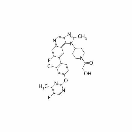 Cc1nc(Oc2ccc(-c3cc4c(cc3F)ncc3nc(C)n(C5CCN(C(=O)CO)CC5)c34)c(Cl)c2)ncc1F